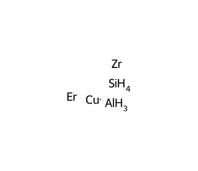 [AlH3].[Cu].[Er].[SiH4].[Zr]